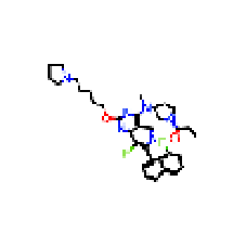 C=CC(=O)N1CC[C@@H](N(C)c2nc(OCCCCCN3CCCC3)nc3c(F)c(-c4cccc5cccc(F)c45)ncc23)C1